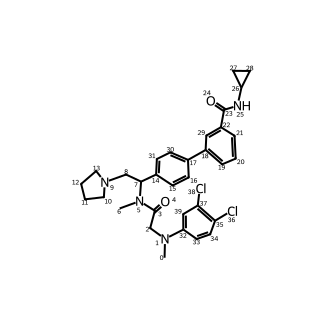 CN(CC(=O)N(C)C(CN1CCCC1)c1ccc(-c2cccc(C(=O)NC3CC3)c2)cc1)c1ccc(Cl)c(Cl)c1